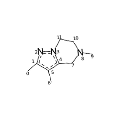 Cc1nn2c(c1C)CN(C)CC2